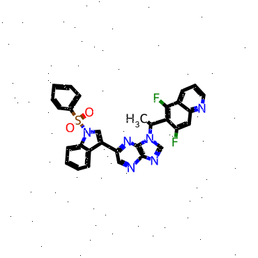 CC(c1c(F)cc2ncccc2c1F)n1cnc2ncc(-c3cn(S(=O)(=O)c4ccccc4)c4ccccc34)nc21